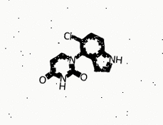 O=c1ccn(-c2c(Cl)ccc3[nH]ccc23)c(=O)[nH]1